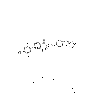 O=C(CCc1ccc(CN2CCCC2)cc1)Nc1ccc(-c2ccc(Cl)cc2)cc1F